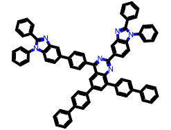 c1ccc(-c2ccc(-c3cc(-c4ccc(-c5ccccc5)cc4)c4nc(-c5ccc6c(c5)nc(-c5ccccc5)n6-c5ccccc5)nc(-c5ccc(-c6ccc7c(c6)nc(-c6ccccc6)n7-c6ccccc6)cc5)c4c3)cc2)cc1